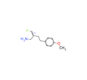 COc1ccc(CC/C(=C/F)CN)cc1